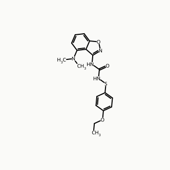 CCOc1ccc(SNC(=O)Nc2noc3cccc(N(C)C)c23)cc1